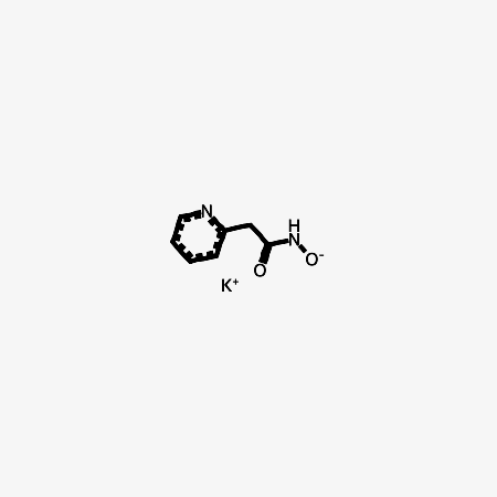 O=C(Cc1ccccn1)N[O-].[K+]